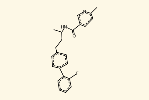 Cc1ccc(C(=O)NC(C)CCc2ccc(-c3ccccc3F)cc2)cn1